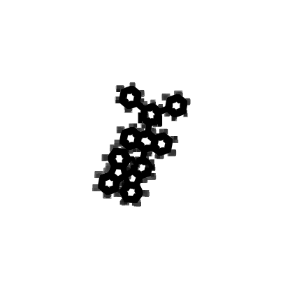 c1ccc(-c2cc(-c3ccccc3)nc(-c3c4ccccc4c(-c4ncc5c(n4)C4(c6ccccc6-c6ccccc64)c4ccccc4-5)c4ccccc34)n2)cc1